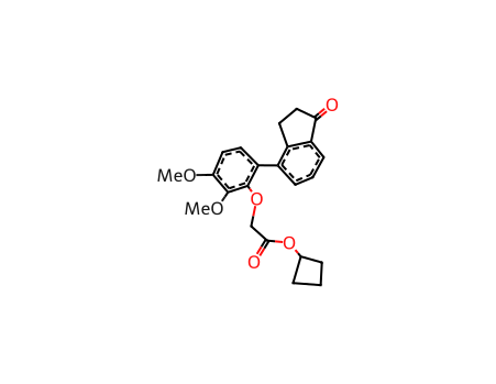 COc1ccc(-c2cccc3c2CCC3=O)c(OCC(=O)OC2CCC2)c1OC